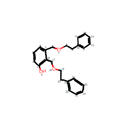 Oc1cccc(COCCc2ccccc2)c1COCCc1ccccc1